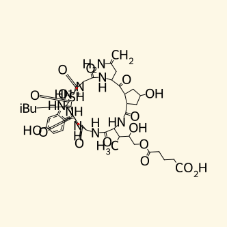 C=C(N)CC1NC(=O)C2C[S+]([O-])c3[nH]c4cc(O)ccc4c3CC(NC(=O)C(C(C)C(O)COC(=O)CCCC(=O)O)NC(=O)C3CC(O)CC3C1=O)C(=O)NCC(=O)NC(C(C)CC)C(=O)NCC(=O)N2